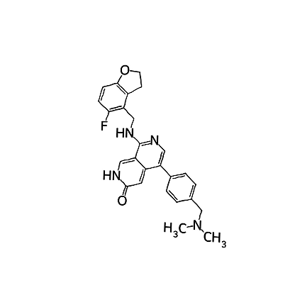 CN(C)Cc1ccc(-c2cnc(NCc3c(F)ccc4c3CCO4)c3c[nH]c(=O)cc23)cc1